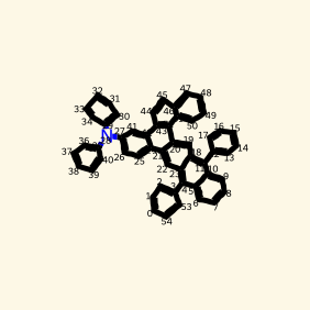 c1ccc(-c2c3ccccc3c(-c3ccccc3)c3cc4c(cc23)c2ccc(N(c3ccccc3)c3ccccc3)cc2c2ccc3ccccc3c24)cc1